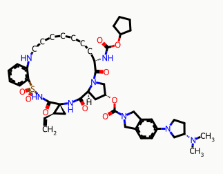 C=C[C@@H]1C[C@@]12NC(=O)[C@@H]1C[C@@H](OC(=O)N3Cc4ccc(N5CC[C@H](N(C)C)C5)cc4C3)CN1C(=O)[C@@H](NC(=O)OC1CCCC1)CCCCCCCNc1ccccc1S(=O)(=O)NC2=O